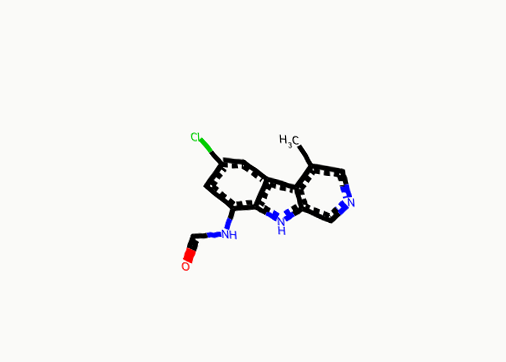 Cc1cncc2[nH]c3c(NC=O)cc(Cl)cc3c12